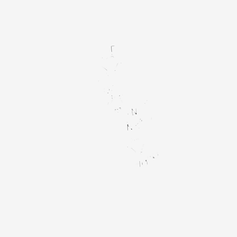 CN(Cc1ccc(C(=O)O)cc1)C[C@@H]1CCCCN1Cc1ccc(OCCc2ccc(F)cc2)cc1